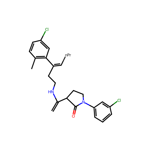 C=C(NCC/C(=C/CCC)c1cc(Cl)ccc1C)C1CCN(c2cccc(Cl)c2)C1=O